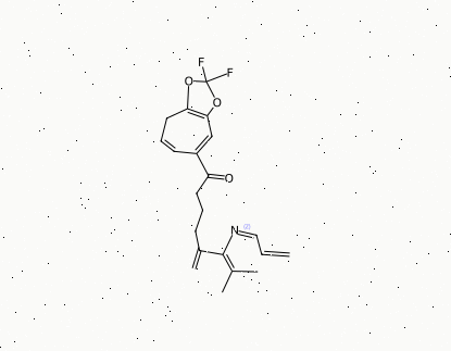 C=C/C=N\C(C(=C)CCCC(=O)C1=CC2=C(CC=C1)OC(F)(F)O2)=C(C)C